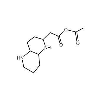 CC(=O)OC(=O)CC1CCC2NCCCC2N1